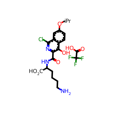 CC(C)Oc1ccc2c(O)c(C(=O)NC(CCCCN)C(=O)O)nc(Cl)c2c1.O=C(O)C(F)(F)F